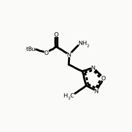 Cc1nonc1CN(N)C(=O)OC(C)(C)C